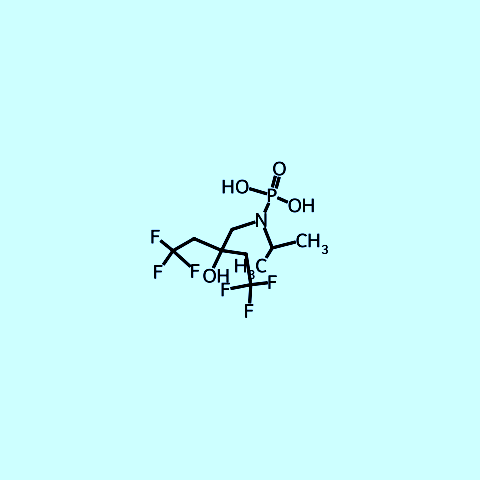 CC(C)N(CC(O)(CC(F)(F)F)CC(F)(F)F)P(=O)(O)O